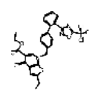 CCOC(=O)c1cn(Cc2ccc(-c3ccccc3-c3noc(C(Cl)(Cl)Cl)n3)cc2)c2sc(CC)cc2c1=O